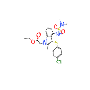 CCOC(=O)Cn1c(C)c(Sc2ccc(Cl)cc2)c2c(NS(=O)(=O)N(C)C)cccc21